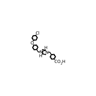 O=C(O)c1ccc(CN2C[C@@H]3C[C@H]2CN3Cc2ccc(Oc3ccc(Cl)cc3)cc2)cc1